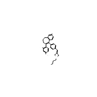 COc1ccc(C2=C(c3ccc(C=C4CN(CCCF)C4)cc3)c3ccc(C(=O)O)cc3CCC2)c(C(F)(F)F)c1